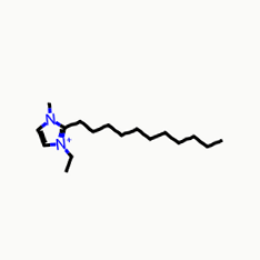 CCCCCCCCCCCc1n(C)cc[n+]1CC